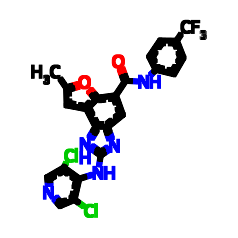 Cc1cc2c(o1)c(C(=O)Nc1ccc(C(F)(F)F)cc1)cc1nc(Nc3c(Cl)cncc3Cl)[nH]c12